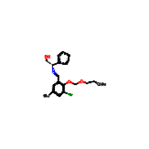 COCCOCOc1c(Br)cc(C(C)(C)C)cc1/C=N/[C@H](CO)c1ccccc1